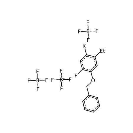 CCc1cc(OCc2ccccc2)c(F)c[c]1[K].F[B-](F)(F)F.F[B-](F)(F)F.F[B-](F)(F)F